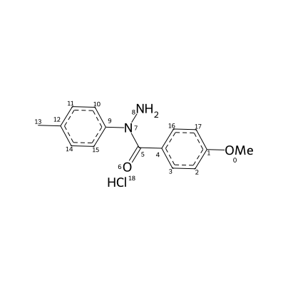 COc1ccc(C(=O)N(N)c2ccc(C)cc2)cc1.Cl